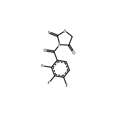 O=C1CSC(=S)N1C(=O)c1ccc(F)c(F)c1F